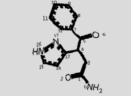 NC(=O)CC(C(=O)c1ccccc1)c1cc[nH]n1